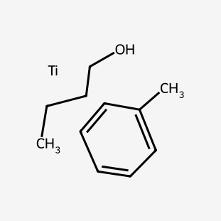 CCCCO.Cc1ccccc1.[Ti]